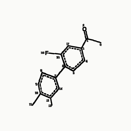 CC(=O)c1ccc(-c2ccc(C)c(C)c2)c(F)c1